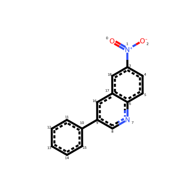 O=[N+]([O-])c1ccc2ncc(-c3ccccc3)cc2c1